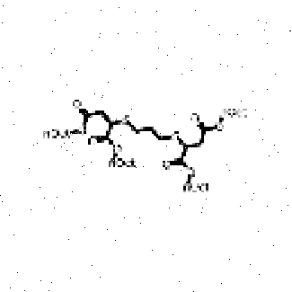 CCCCCCCCOC(=O)CC(SCCCSC(CC(=O)OCCCCCCCC)C(=O)OCCCCCCCC)C(=O)OCCCCCCCC